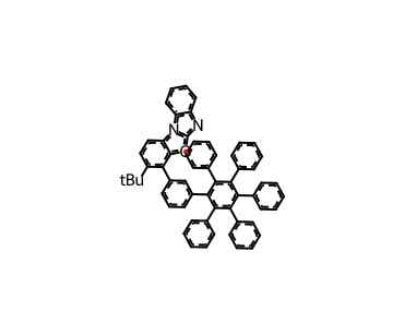 CC(C)(C)c1ccc2c(oc3nc4ccccc4n32)c1-c1cccc(-c2c(-c3ccccc3)c(-c3ccccc3)c(-c3ccccc3)c(-c3ccccc3)c2-c2ccccc2)c1